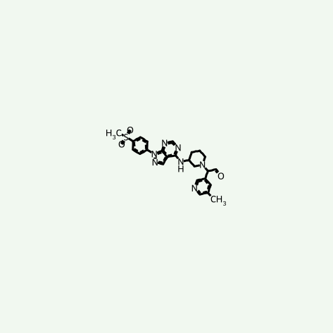 Cc1cncc(C(C=O)N2CCCC(Nc3ncnc4c3cnn4-c3ccc(S(C)(=O)=O)cc3)C2)c1